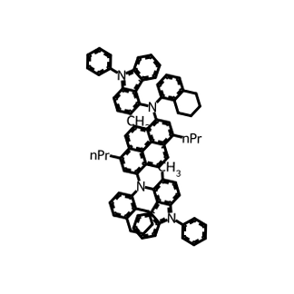 CCCc1cc(N(c2cccc3c2CCCC3)c2c(C)ccc3c2c2ccccc2n3-c2ccccc2)c2ccc3c(CCC)cc(N(c4cccc5c4CCCC5)c4c(C)ccc5c4c4ccccc4n5-c4ccccc4)c4ccc1c2c34